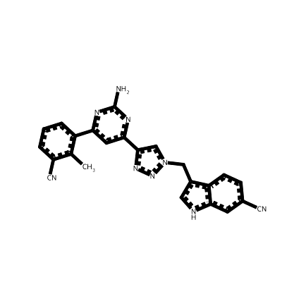 Cc1c(C#N)cccc1-c1cc(-c2cn(Cc3c[nH]c4cc(C#N)ccc34)nn2)nc(N)n1